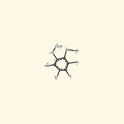 CCCOc1c(CC)c(CC)c(CC)c(O)c1OC(=O)O